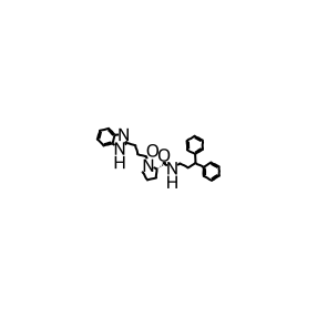 O=C(NCCC(c1ccccc1)c1ccccc1)[C@@H]1CCCN1C(=O)CCc1nc2ccccc2[nH]1